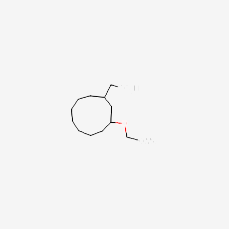 COCOC1CCCCCCCC(CC(=O)O)C1